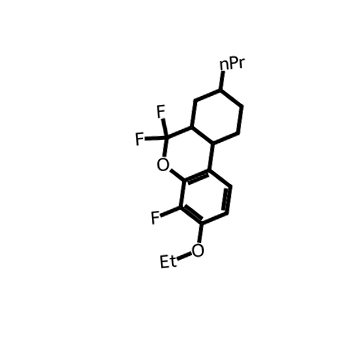 CCCC1CCC2c3ccc(OCC)c(F)c3OC(F)(F)C2C1